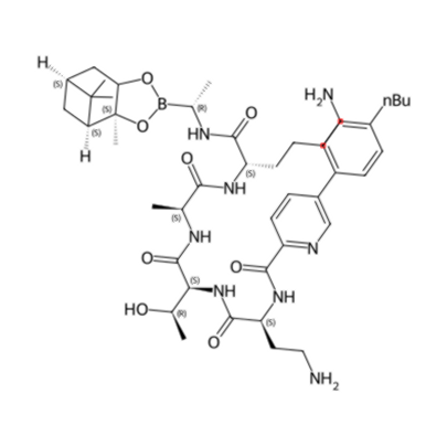 CCCCc1ccc(-c2ccc(C(=O)N[C@@H](CCN)C(=O)N[C@H](C(=O)N[C@@H](C)C(=O)N[C@@H](CCCCN)C(=O)N[C@@H](C)B3OC4C[C@@H]5C[C@@H](C5(C)C)[C@]4(C)O3)[C@@H](C)O)nc2)cc1